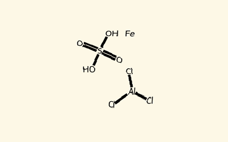 O=S(=O)(O)O.[Cl][Al]([Cl])[Cl].[Fe]